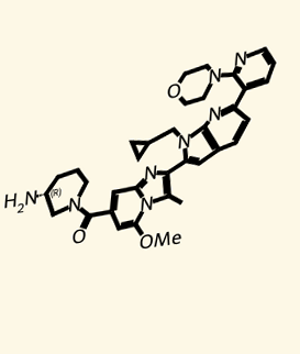 COc1cc(C(=O)N2CCC[C@@H](N)C2)cc2nc(-c3cc4ccc(-c5cccnc5N5CCOCC5)nc4n3CC3CC3)c(C)n12